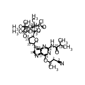 CC(CC#N)Oc1nc(NC(=O)C(C)C)nc2c1ncn2[C@H]1C[C@H](O[Si](C)(C)C(C)(C)C)[C@@H](COP(=O)(Cl)N(C)C)O1